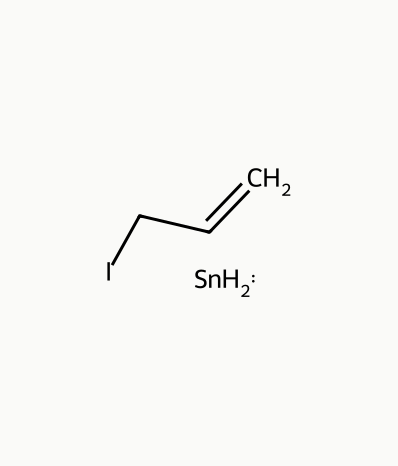 C=CCI.[SnH2]